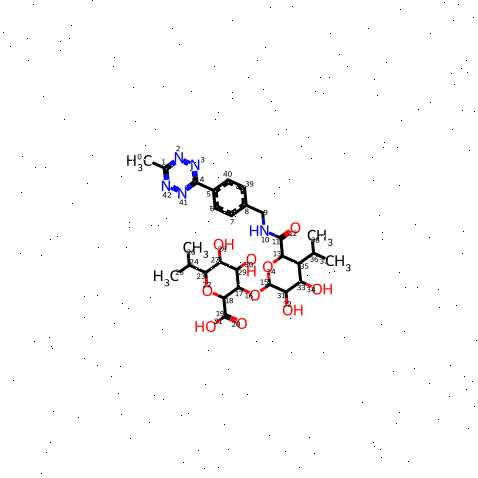 Cc1nnc(-c2ccc(CNC(=O)C3OC(OC4C(C(=O)O)OC(C(C)C)C(O)C4O)C(O)C(O)C3C(C)C)cc2)nn1